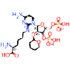 Nc1ccn([C@@H]2O[C@H](COP(=O)(O)O)[C@@H](OP(=O)(O)O)[C@H]2OC2CCCCO2)/c(=N/CCCC[C@H](N)C(=O)O)n1